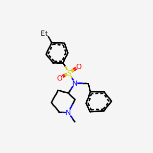 CCc1ccc(S(=O)(=O)N(Cc2ccccc2)C2CCCN(C)C2)cc1